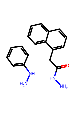 NNC(=O)Cc1cccc2ccccc12.NNc1ccccc1